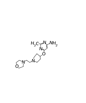 Cc1nc(N)cc(OC2CCN(CCN3CCOCC3)CC2)n1